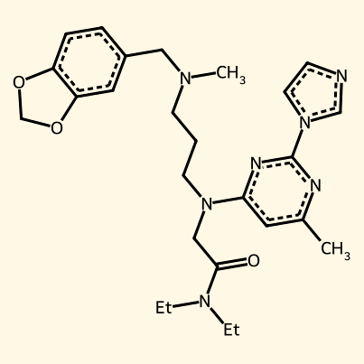 CCN(CC)C(=O)CN(CCCN(C)Cc1ccc2c(c1)OCO2)c1cc(C)nc(-n2ccnc2)n1